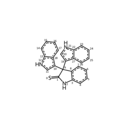 S=C1Nc2ccccc2C1(c1c[nH]c2ccccc12)c1c[nH]c2ccccc12